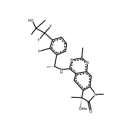 CO[C@@]1(C)C(=O)N(C)c2cc3nc(C)nc(N[C@H](C)c4cccc(C(F)(F)C(C)(C)O)c4F)c3cc21